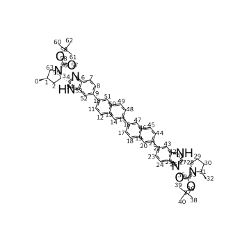 C[C@@H]1C[C@@H](c2nc3ccc(-c4ccc5cc(-c6ccc7cc(-c8ccc9nc([C@@H]%10CC[C@@H](C)N%10C(=O)OC(C)(C)C)[nH]c9c8)ccc7c6)ccc5c4)cc3[nH]2)N(C(=O)OC(C)(C)C)C1